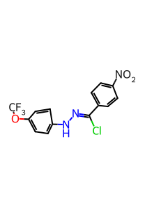 O=[N+]([O-])c1ccc(C(Cl)=NNc2ccc(OC(F)(F)F)cc2)cc1